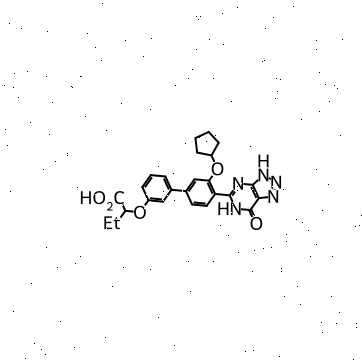 CCC(Oc1cccc(-c2ccc(-c3nc4[nH]nnc4c(=O)[nH]3)c(OC3CCCC3)c2)c1)C(=O)O